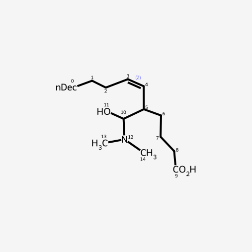 CCCCCCCCCCCC/C=C\C(CCCC(=O)O)C(O)N(C)C